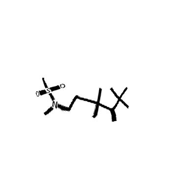 C=C(C(C)(C)C)C(C)(C)CCN(C)S(C)(=O)=O